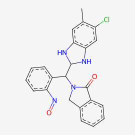 Cc1cc2c(cc1Cl)NC(C(c1ccccc1N=O)N1Cc3ccccc3C1=O)N2